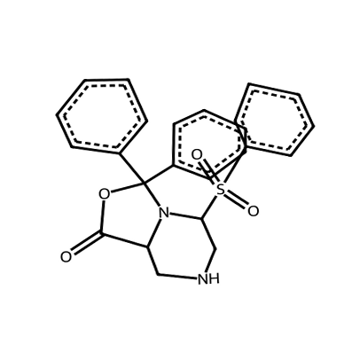 O=C1OC(c2ccccc2)(c2ccccc2)N2C1CNCC2S(=O)(=O)c1ccccc1